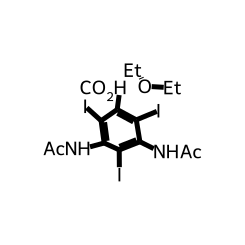 CC(=O)Nc1c(I)c(NC(C)=O)c(I)c(C(=O)O)c1I.CCOCC